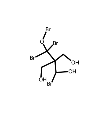 OCC(CO)(C(O)Br)C(Br)(Br)OBr